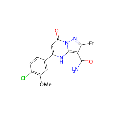 CCc1nn2c(=O)cc(-c3ccc(Cl)c(OC)c3)[nH]c2c1C(N)=O